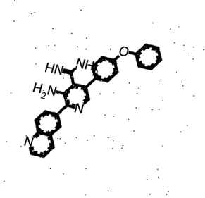 N=C(N)c1c(-c2ccc(Oc3ccccc3)cc2)cnc(-c2ccc3ncccc3c2)c1N